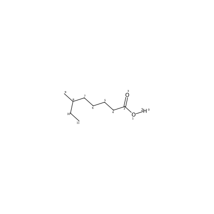 [2H]OC(=O)CCCCC(C)CC